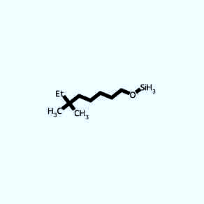 CCC(C)(C)CCCCCO[SiH3]